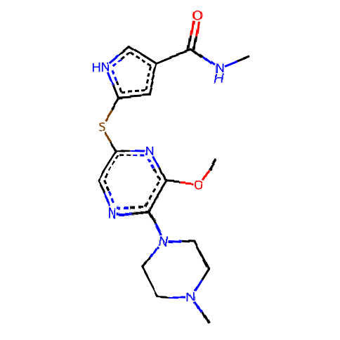 CNC(=O)c1c[nH]c(Sc2cnc(N3CCN(C)CC3)c(OC)n2)c1